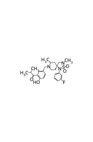 CC(C)C(=O)c1cc(CN2CC[C@@]3(C[C@@H]2C)CN(C)S(=O)(=O)N3c2cccc(F)c2)ccc1O